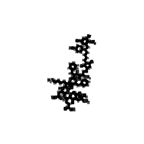 CC(C)CC(NC(=O)C(CCC(=O)O)NC(=O)C(CC(=O)O)NC(=O)C(CCCCN)NC(=O)C(Cc1ccccc1)NC(=O)C(Cc1ccccc1)NC(=O)C(C)CSC1CC(=O)N(CCCCN(Cc2cc(Br)cc(Br)c2N)[C@H]2CC[C@H](O)CC2)C1=O)C(=O)O